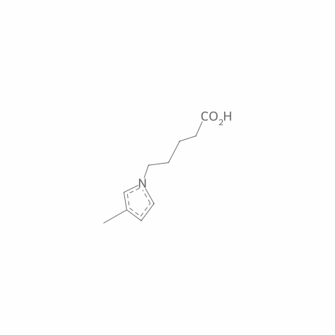 Cc1ccn(CCCCC(=O)O)c1